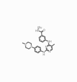 Cc1cnc(Nc2ccc(N3CCN(C)CC3)cc2)nc1Nc1cccc(C(=O)NC(C)(C)C)c1